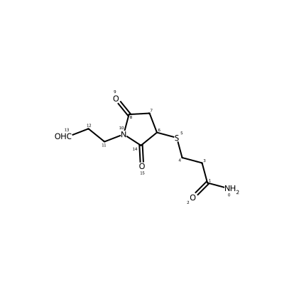 NC(=O)CCSC1CC(=O)N(CCC=O)C1=O